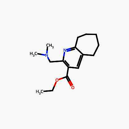 CCOC(=O)c1cc2c(nc1CN(C)C)CCCCC2